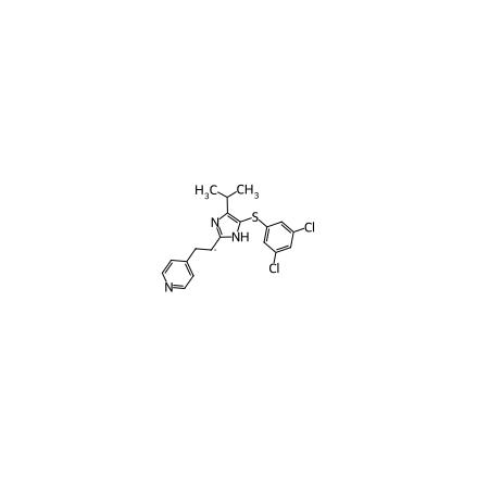 CC(C)c1nc([CH]Cc2ccncc2)[nH]c1Sc1cc(Cl)cc(Cl)c1